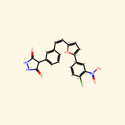 O=C1NNC(=O)C1c1cccc(/C=C\c2ccc(-c3ccc(Cl)c([N+](=O)[O-])c3)o2)c1